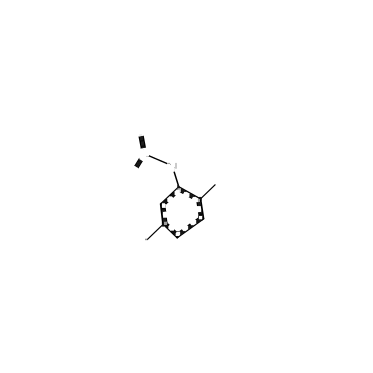 O=C(O)c1ccc(Cl)cc1N[SH](=O)=O